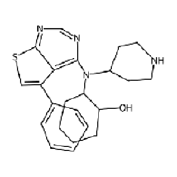 OC1CCCCC1N(c1ncnc2scc(-c3ccccc3)c12)C1CCNCC1